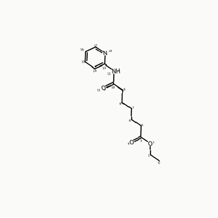 CCOC(=O)CCCCCC(=O)Nc1ccccn1